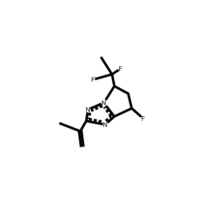 C=C(C)c1nc2n(n1)C(C(C)(F)F)CC2F